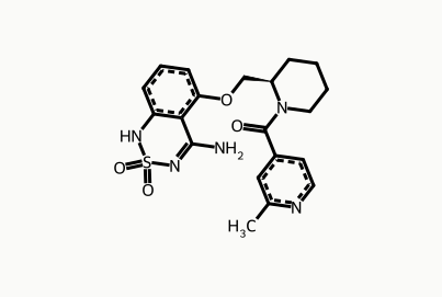 Cc1cc(C(=O)N2CCCC[C@@H]2COc2cccc3c2C(N)=NS(=O)(=O)N3)ccn1